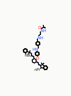 C=C(C)C(=O)NCCCNCc1ccc(CNc2ccc(OC3/C(=C/C=C4/C(CCC)c5ccccc5C4(C)C)CCCC3/C=C/CC(C)(C)c3ccccc3CCCC)cc2)cc1